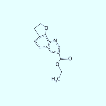 CCOC(=O)c1cnc2c3c(ccc2c1)CCO3